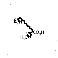 Cc1ncc(C(CCCCCCCc2ccc3cccnc3n2)C(=O)O)cn1